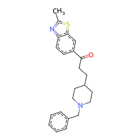 Cc1nc2ccc(C(=O)CCC3CCN(Cc4ccccc4)CC3)cc2s1